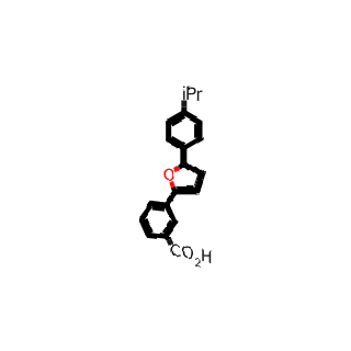 CC(C)c1ccc(C2CC=C(c3cccc(C(=O)O)c3)O2)cc1